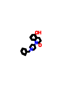 O=C1CCc2c(O)cccc2N1C1CCN(Cc2ccccc2)CC1